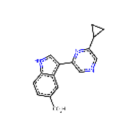 O=C(O)c1ccc2[nH]cc(-c3cncc(C4CC4)n3)c2c1